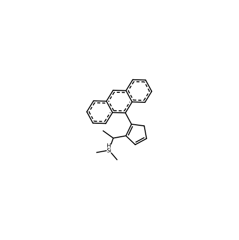 CC(C1=C(c2c3ccccc3cc3ccccc23)CC=C1)[SiH](C)C